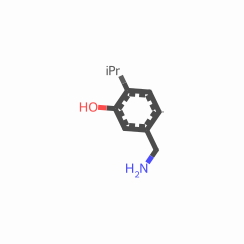 CC(C)c1c[c]c(CN)cc1O